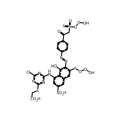 O=C(O)CSc1nc(Cl)nc(Nc2cc(S(=O)(=O)O)cc3cc(SOOO)c(N=Nc4ccc(C(=O)CS(=O)(=S)OOO)cc4)c(O)c23)n1